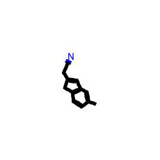 Cc1ccc2c(c1)C=C(CC#N)C2